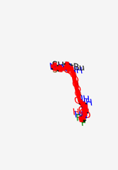 Cc1ncsc1-c1ccc(CNC(=O)[C@@H]2CCCN2C(=O)[C@@H](NC(=O)COCCOCCOCCOCCOCCNC(=O)c2cc3cc(N4CCC(O)(C(=O)NCc5cc(F)cc(F)c5)C4=O)ccc3[nH]2)C(C)(C)C)cc1